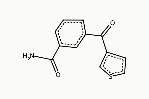 NC(=O)c1cccc(C(=O)c2ccsc2)c1